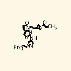 C=CC(=O)N1CC(CCn2c(=O)ccc3cnc(Nc4cnn(CCOCC)c4)nc32)C1